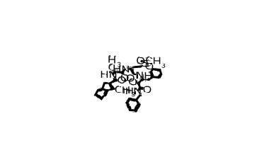 CC1=C(C(=O)N[C@@H](C)C(=O)N[C@@H](CCS(C)(=O)=O)C(=O)N[C@@H](Cc2ccccc2)C(=O)C(=O)NCc2ccccc2)Cc2ccccc21